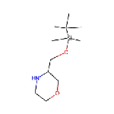 CC(C)(C)[Si](C)(C)OCC1COCCN1